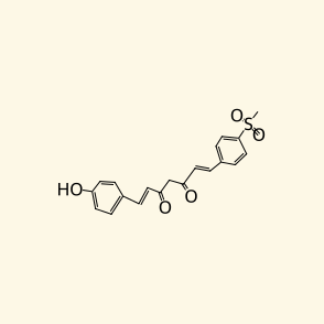 CS(=O)(=O)c1ccc(/C=C/C(=O)CC(=O)/C=C/c2ccc(O)cc2)cc1